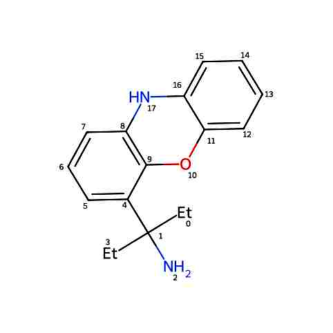 CCC(N)(CC)c1cccc2c1Oc1ccccc1N2